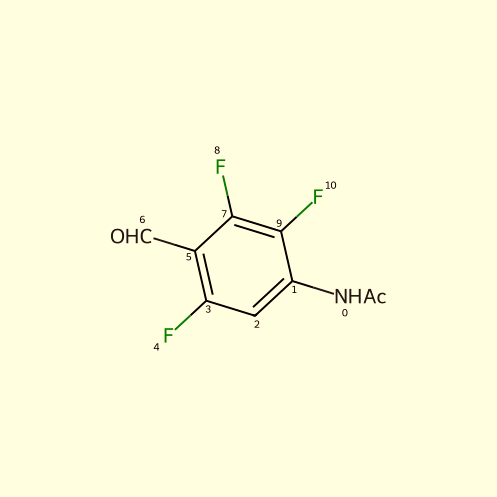 CC(=O)Nc1cc(F)c(C=O)c(F)c1F